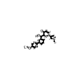 CCOc1cnc(-c2cccc(C(O)c3nn(-c4cnn(C)c4)ccc3=O)c2)nc1